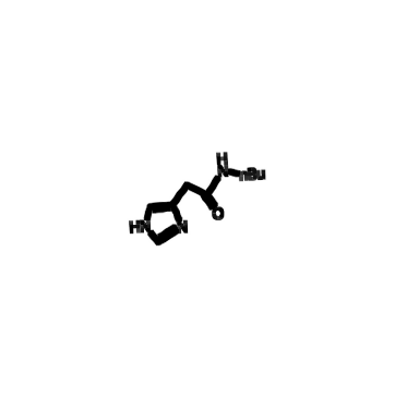 CCCCNC(=O)Cc1c[nH]cn1